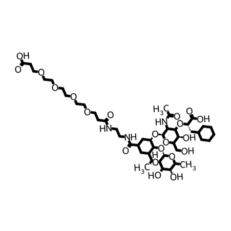 CCC1CC(C(=O)NCCNC(=O)CCOCCOCCOCCOCCC(=O)O)C[C@@H](O[C@@H]2OC(CO)[C@H](O)C(O[C@@H](CC3CCCCC3)C(=O)O)C2NC(C)=O)C1O[C@@H]1OC(C)[C@@H](O)C(O)C1O